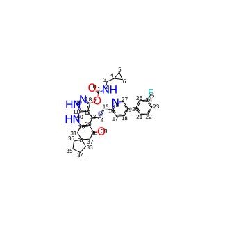 O=C(NCC1CC1)Oc1n[nH]c2c1C(/C=C/c1ccc(-c3cccc(F)c3)cn1)C1=C(CC3(CCCC3)CC1=O)N2